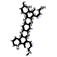 C/N=C/C=C\c1c(C)c2c(c3nc4cc5nc6c7c(c(C)c(/C=C\C=N)c6nc5cc4nc13)NC(C)C=C7)C=CCN2